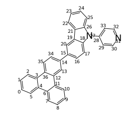 c1ccc2c(c1)c1ccccc1c1cc(-c3ccc4c(c3)c3ccccc3n4-c3ccncc3)ccc21